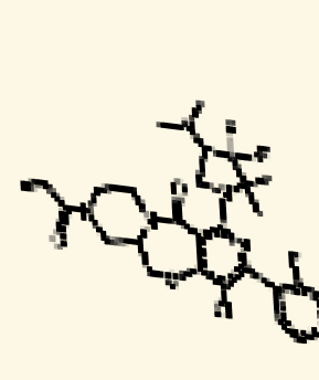 C=CC(=O)N1CCN2C(=O)c3c(N4C[C@@H](N(C)C)C(F)(F)C4(C)C)nc(-c4ccccc4F)c(Cl)c3OCC2C1